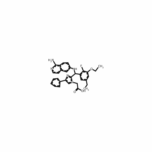 CCOc1cc(CC)cc(C(Nc2ccc3c(N)nccc3c2)c2nc(-c3ccccc3)cn2CC(=O)O)c1F